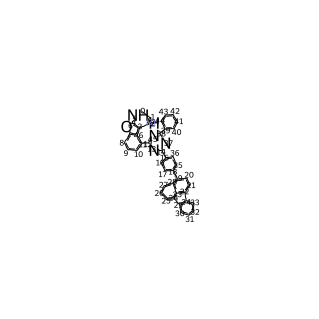 C/C=C\c1c(N)oc2cccc(C3=NC(c4ccc(-c5ccc6c7c(cccc57)-c5ccccc5-6)cc4)=NC(c4ccccc4)N3)c12